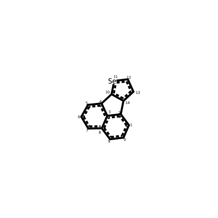 c1cc2c3c(cccc3c1)-c1[se]ccc1-2